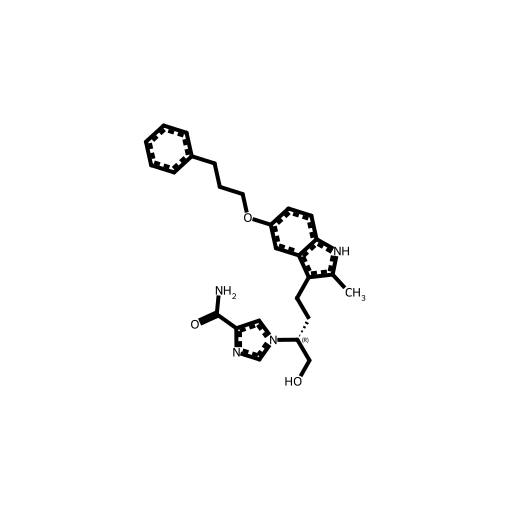 Cc1[nH]c2ccc(OCCCc3ccccc3)cc2c1CC[C@H](CO)n1cnc(C(N)=O)c1